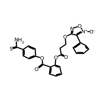 NC(=S)c1ccc(OC(=O)c2ccccc2OC(=O)CCOc2no[n+]([O-])c2-c2ccccc2)cc1